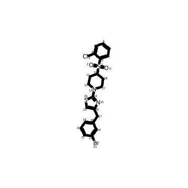 O=S(=O)(c1ccccc1Cl)C1CCN(c2nc(Cc3cccc(Br)c3)cs2)CC1